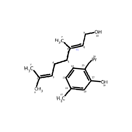 CC(C)=CCC/C(C)=C/CO.Cc1ccc(C(C)C)c(O)c1